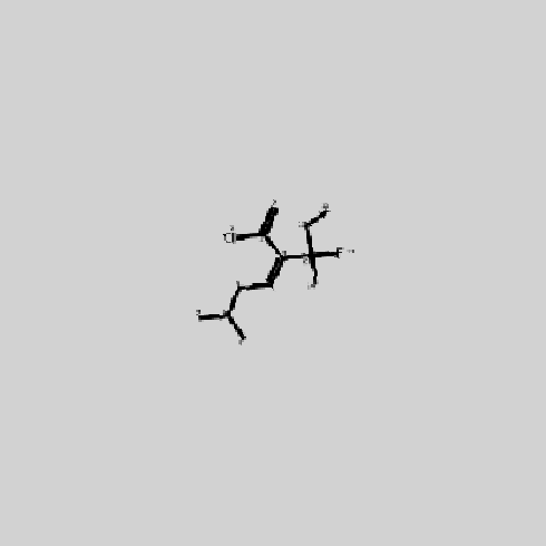 C=C(Cl)/C(=C\CC(C)C)C(C)(F)CC